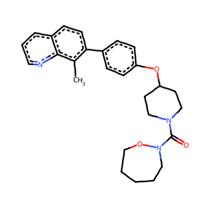 Cc1c(-c2ccc(OC3CCN(C(=O)N4CCCCCO4)CC3)cc2)ccc2cccnc12